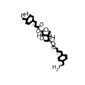 O=C(/C=C/c1ccc(CP)cc1)O[C@@H]1OC[C@H]2[C@@H]1OC[C@@H]2OOC/C=C/c1ccc(CP)cc1